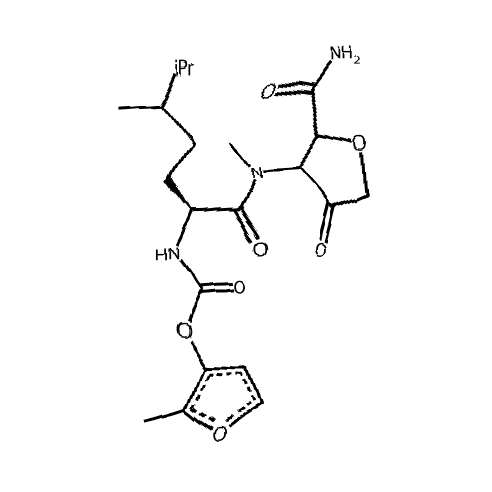 Cc1occc1OC(=O)N[C@@H](CCC(C)C(C)C)C(=O)N(C)C1C(=O)COC1C(N)=O